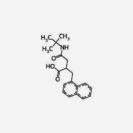 CC(C)(C)NC(=O)CC(Cc1cccc2ccccc12)C(=O)O